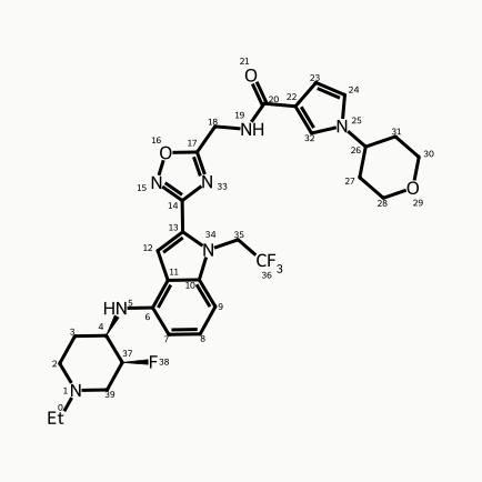 CCN1CC[C@@H](Nc2cccc3c2cc(-c2noc(CNC(=O)c4ccn(C5CCOCC5)c4)n2)n3CC(F)(F)F)[C@@H](F)C1